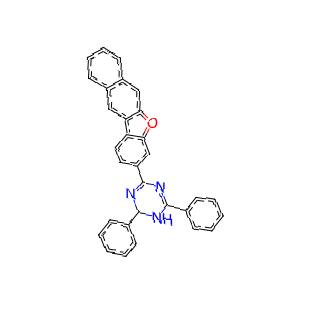 c1ccc(C2=NC(c3ccc4c(c3)oc3cc5ccccc5cc34)=NC(c3ccccc3)N2)cc1